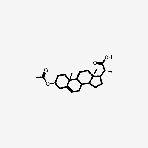 CC(=O)O[C@H]1CC[C@@]2(C)C(=CCC3C4CCC([C@H](C)C(=O)O)[C@@]4(C)CCC32)C1